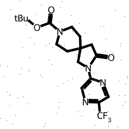 CC(C)(C)OC(=O)N1CCC2(CC1)CC(=O)N(c1cnc(C(F)(F)F)cn1)C2